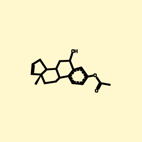 CC(=O)Oc1ccc2c(c1)C(O)CC1C2CC[C@]2(C)C=CCC12